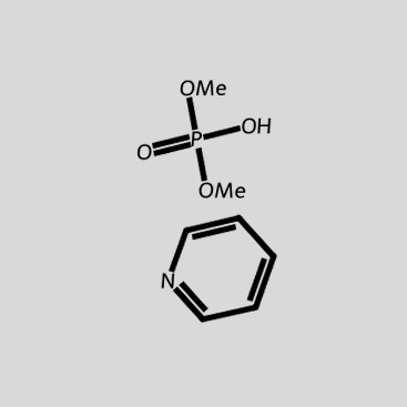 COP(=O)(O)OC.c1ccncc1